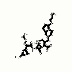 NCCSc1ccc2cn(CC3=C(C(=O)[O-])N4C(=O)[C@@H](NC(=O)/C(=N\OCF)c5csc(N)n5)[C@H]4SC3)cc[n+]1-2